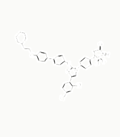 O=C1CN(c2ccc(-n3cc(-c4ccc(Cl)cc4Cl)nc3Cc3ccc(-c4ccc(OCCC5CCCCC5)cc4)cc3)cc2)S(=O)(=O)N1